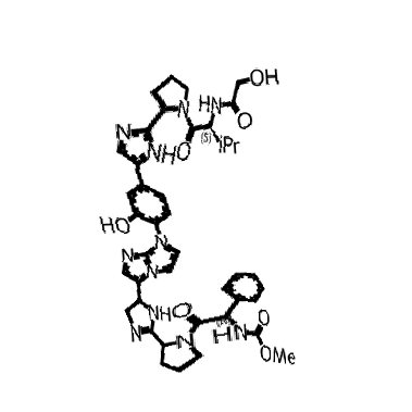 COC(=O)N[C@@H](C(=O)N1CCCC1C1=NCC(c2cnc3n(-c4ccc(-c5cnc(C6CCCN6C(=O)[C@@H](NC(=O)CO)C(C)C)[nH]5)cc4O)ccn23)N1)c1ccccc1